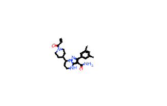 C=CC(=O)N1CCC(C2CCNc3c(C(N)=O)c(-c4cc(C)cc(C)c4)nn32)CC1